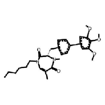 CCCCCCN1C=C(C)C(=O)N(C)[C@@H](Cc2ccc(-c3cc(OC)c(OC)c(OC)c3)cc2)C1=O